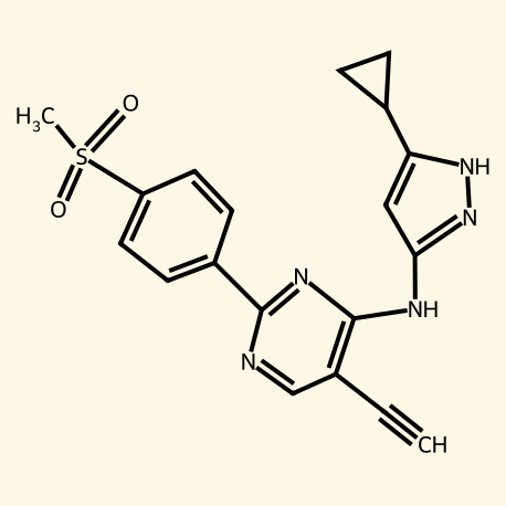 C#Cc1cnc(-c2ccc(S(C)(=O)=O)cc2)nc1Nc1cc(C2CC2)[nH]n1